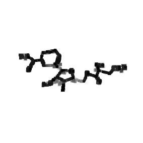 CC(=O)O[C@@H]1[C@H](C)[C@@H](COC(=O)[C@@H](O)CC(=O)O)O[C@H]1[n+]1cccc(C(N)=O)c1